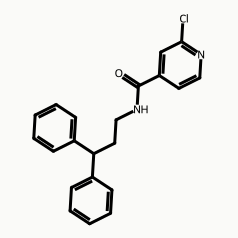 O=C(NCCC(c1ccccc1)c1ccccc1)c1ccnc(Cl)c1